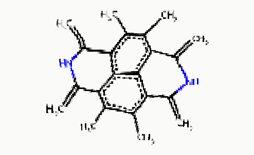 C=C1NC(=C)c2c(C)c(C)c3c4c(c(C)c(C)c1c24)C(=C)NC3=C